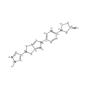 Cn1cc(N2Cc3cn(-c4ccc(N5CC[C@@H](F)C5)nc4)nc3C2)cn1